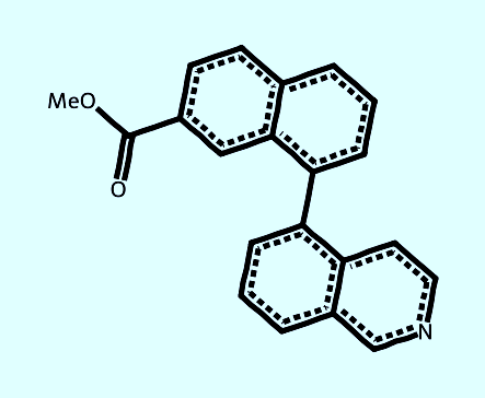 COC(=O)c1ccc2cccc(-c3cccc4cnccc34)c2c1